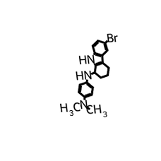 CN(C)c1ccc(NC2CCCc3c2[nH]c2ccc(Br)cc32)cc1